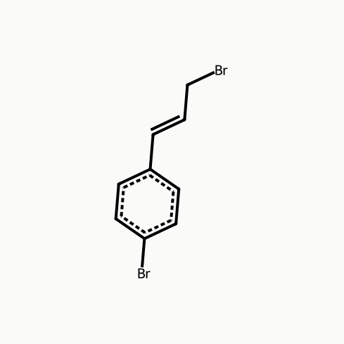 BrC/C=C/c1ccc(Br)cc1